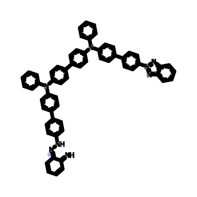 N=C1C=CC=C/C1=N/Nc1ccc(-c2ccc(N(c3ccccc3)c3ccc(-c4ccc(N(c5ccccc5)c5ccc(-c6ccc(-n7nc8ccccc8n7)cc6)cc5)cc4)cc3)cc2)cc1